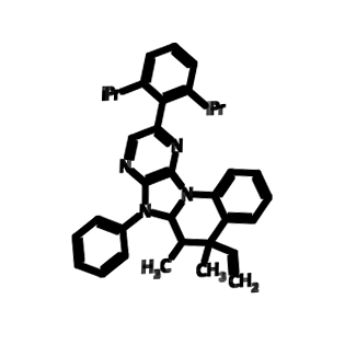 C=CC1(C)c2ccccc2N2c3nc(-c4c(C(C)C)cccc4C(C)C)cnc3N(c3ccccc3)C2C1C